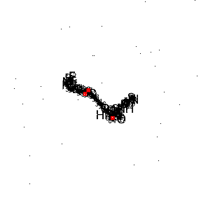 Cc1ncsc1-c1ccc(CNC(=O)C2CC(=O)CN2C(=O)C(NC(=O)COCCCCCCCOc2ccc(C3CCN(C4=Nn5c(nnc5C(F)(F)F)CC4)CC3)cc2)C(C)(C)C)cc1